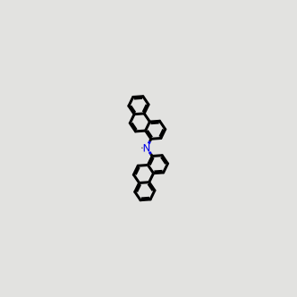 c1ccc2c(c1)ccc1c([N]c3cccc4c3ccc3ccccc34)cccc12